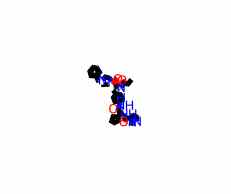 CCC(=O)N[C@H](Cc1ccc(NC(=O)[C@@H](NC(=O)c2ccnn2C)C2CCCC2)cc1)C(=O)N1CCN(Cc2ccccc2)CC1